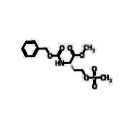 COC(=O)[C@H](CCOS(C)(=O)=O)NC(=O)OCc1ccccc1